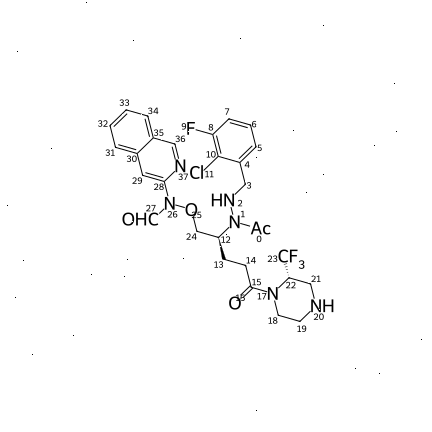 CC(=O)N(NCc1cccc(F)c1Cl)[C@@H](CCC(=O)N1CCNC[C@H]1C(F)(F)F)CON(C=O)c1cc2ccccc2cn1